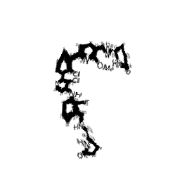 COc1nc(-c2cccc(-c3nccc(Nc4cccc(CNC[C@H]5CCC(=O)N5)c4F)c3Cl)c2Cl)ccc1CNC[C@@H]1CCC(=O)N1